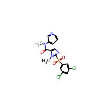 CN(C(=O)c1cnc(S(=O)(=O)c2cc(Cl)cc(Cl)c2)n1C)c1cccnc1